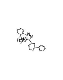 CC1CC=CC=C1C1N=NC(c2cccc(-c3ccccc3)c2)N1C